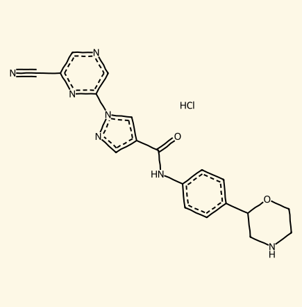 Cl.N#Cc1cncc(-n2cc(C(=O)Nc3ccc(C4CNCCO4)cc3)cn2)n1